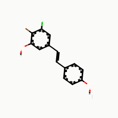 COc1ccc(/C=C/c2cc(Cl)c(Br)c(OC)c2)cc1